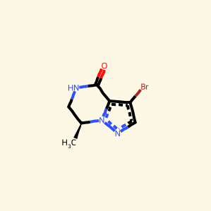 C[C@H]1CNC(=O)c2c(Br)cnn21